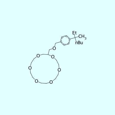 CCCCC(C)(CC)c1ccc(COCC2COCCOCCOCCOCCOCCO2)cc1